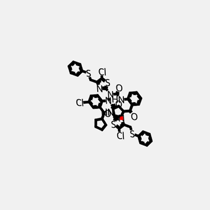 O=C(c1ccccc1NC(=O)N(c1nc(CSc2ccccc2)c(Cl)s1)N(C(=O)Nc1nc(CSc2ccccc2)c(Cl)s1)c1ccc(Cl)cc1C(=O)C1CCCC1)C1CCCC1